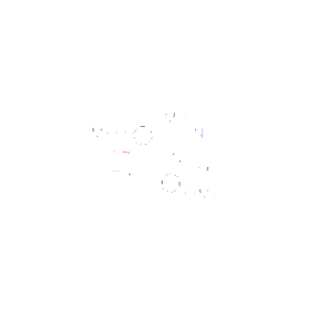 COc1ccc(C(=O)C2CC(CCN3CCC(N4CCCCC4)CC3)(c3ccc(OC)c(OC)c3)CCCN2)c(OC)c1